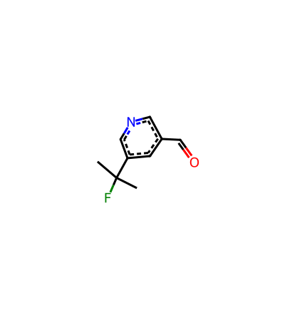 CC(C)(F)c1cncc(C=O)c1